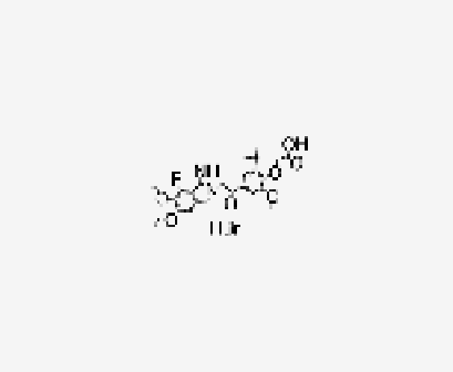 Br.CCOc1cc2c(c(F)c1OCC)C(=N)N(CC(=O)c1cc(OC)c(OCC(=O)O)c(C(C)(C)C)c1)C2